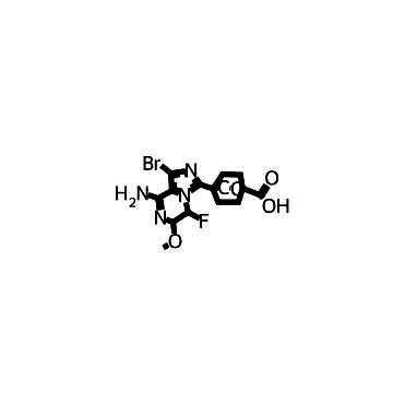 COC1N=C(N)c2c(Br)nc(C34CCC(C(=O)O)(CC3)CC4)n2C1F